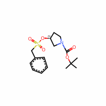 CC(C)(C)OC(=O)N1CC[C@H](OS(=O)(=O)Cc2ccccc2)C1